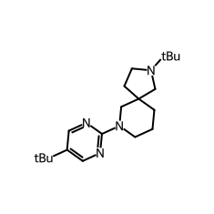 CC(C)(C)c1cnc(N2CCCC3(CCN(C(C)(C)C)C3)C2)nc1